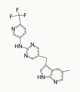 Cc1cnc2[nH]cc(Cc3cnc(Nc4ccc(C(F)(F)F)nc4)nc3)c2c1